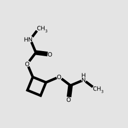 CNC(=O)OC1CCC1OC(=O)NC